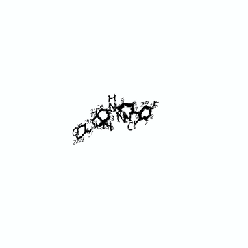 Fc1ccc(Cl)c(-c2ccc(NC3C[C@@H]4CN(CC5CCOCC5)C[C@@H]4C3)nn2)c1